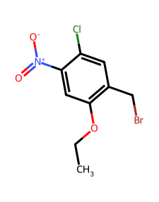 CCOc1cc([N+](=O)[O-])c(Cl)cc1CBr